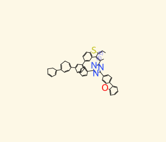 C/C=c1/sc2ccc(-c3cccc(C4=CCC=C(C5=CC=CCC5)C=C4)c3)cc2/c1=C(/C)c1nc(-c2ccccc2)nc(-c2ccc3c(c2)oc2ccccc23)n1